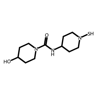 O=C(NC1CCN(S)CC1)N1CCC(O)CC1